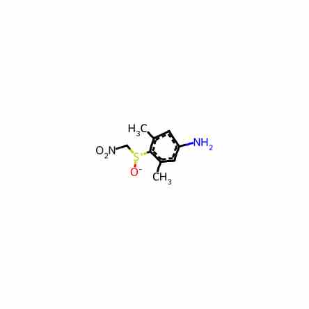 Cc1cc(N)cc(C)c1[S+]([O-])C[N+](=O)[O-]